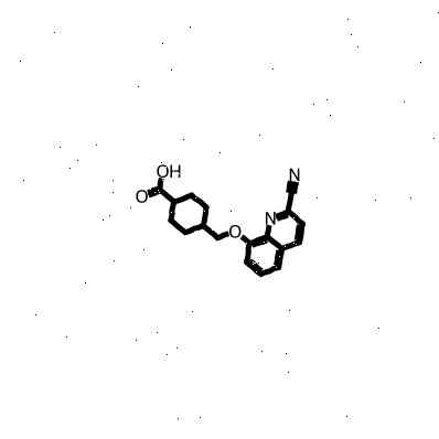 N#Cc1ccc2cccc(OCC3CCC(C(=O)O)CC3)c2n1